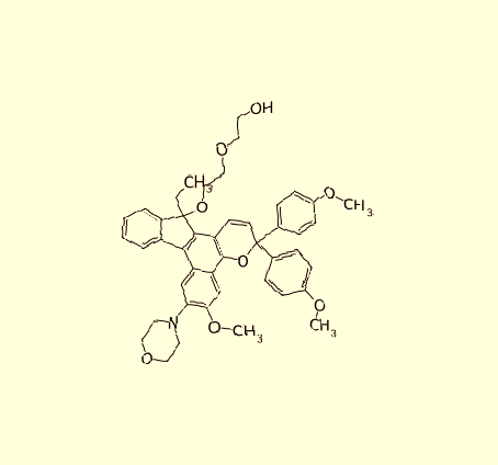 CCC1(OCCOCCO)c2ccccc2-c2c1c1c(c3cc(OC)c(N4CCOCC4)cc23)OC(c2ccc(OC)cc2)(c2ccc(OC)cc2)C=C1